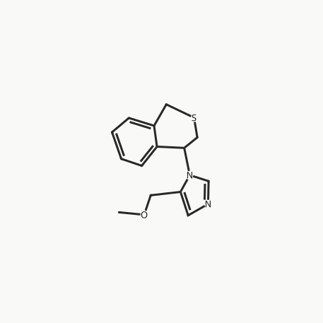 COCc1cncn1C1CSCc2ccccc21